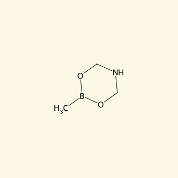 CB1OCNCO1